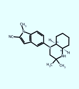 Cn1c(C#N)cc2cc(N3CC(C)(C)N[C@@H]4CCCC[C@@H]43)ccc21